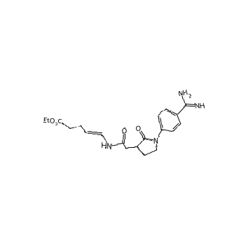 CCOC(=O)CCC=CNC(=O)CC1CCN(c2ccc(C(=N)N)cc2)C1=O